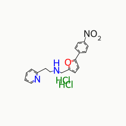 Cl.Cl.O=[N+]([O-])c1ccc(-c2ccc(CNCCc3ccccn3)o2)cc1